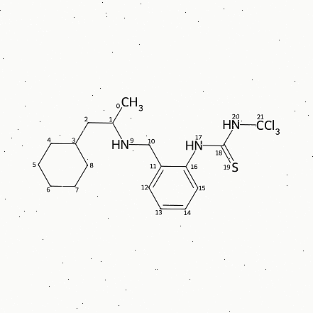 CC(CC1CCCCC1)NCc1ccccc1NC(=S)NC(Cl)(Cl)Cl